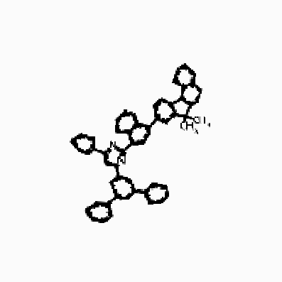 CC1(C)c2cc(-c3ccc(-c4nc(-c5ccccc5)cc(-c5cc(-c6ccccc6)cc(-c6ccccc6)c5)n4)c4ccccc34)ccc2-c2c1ccc1ccccc21